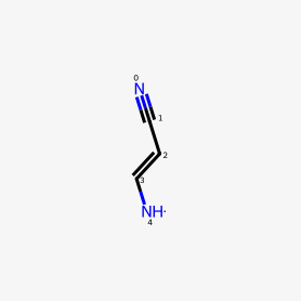 N#CC=C[NH]